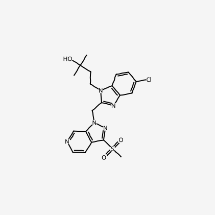 CC(C)(O)CCn1c(Cn2nc(S(C)(=O)=O)c3ccncc32)nc2cc(Cl)ccc21